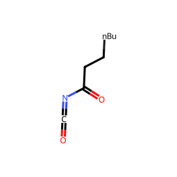 CCCCCCC(=O)N=C=O